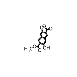 COC(=O)c1cc2cc3ooc(=O)c3cc2cc1O